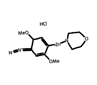 COC1=CC(=[N+]=[N-])C(OC)C=[C]1[Zn][N]1CCOCC1.Cl